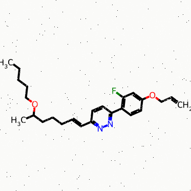 C=CCOc1ccc(-c2ccc(C=CCCCC(C)OCCCCC)nn2)c(F)c1